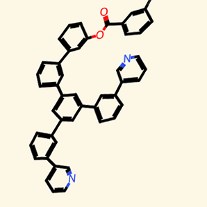 O=Cc1cccc(C(=O)Oc2cccc(-c3cccc(-c4cc(-c5cccc(-c6cccnc6)c5)cc(-c5cccc(-c6cccnc6)c5)c4)c3)c2)c1